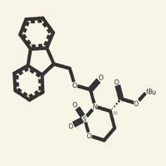 CC(C)(C)OC(=O)[C@@H]1CCOS(=O)(=O)N1C(=O)OCC1c2ccccc2-c2ccccc21